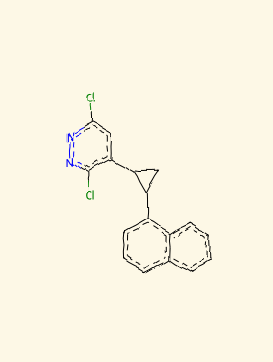 Clc1cc(C2CC2c2cccc3ccccc23)c(Cl)nn1